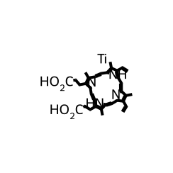 C=CC1=C(C)c2cc3[nH]c(cc4nc(cc5[nH]c(cc1n2)c(C)c5CCC(=O)O)C(CCC(=O)O)=C4C)c(C)c3C=C.[Ti]